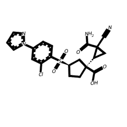 N#CC1(C(N)=O)CC1[C@]1(C(=O)O)CC[C@@H](S(=O)(=O)c2ccc(-n3cccn3)cc2Cl)C1